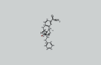 CN1CC[C@]2(C)c3cc(C(N)=O)ccc3C[C@@H]1[C@@H]2N(C)CCc1ccccc1